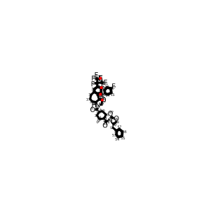 C[C@@H]1C[C@H](C(=O)N2CC[C@@]3(S(=O)(=O)c4ccc(F)cc4)c4ccc(C(F)(C(F)(F)F)C(F)(F)F)cc4CCC[C@@H]23)CC[C@H]1C(=O)N1C(=O)OC[C@H]1Cc1ccccc1